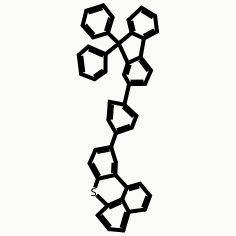 c1ccc(C2(c3ccccc3)c3ccccc3-c3ccc(-c4ccc(-c5ccc6c(c5)-c5cccc7cccc(c57)S6)cc4)cc32)cc1